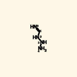 N=CNNN